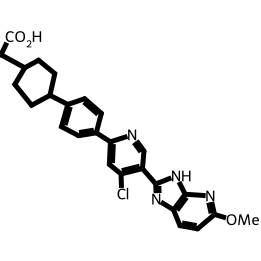 COc1ccc2nc(-c3cnc(-c4ccc(C5CCC(CC(=O)O)CC5)cc4)cc3Cl)[nH]c2n1